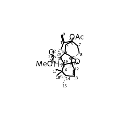 C=C1C[C@]23C[C@]1(OC(C)=O)CC[C@@]21O[C@]12C=C[C@H](C)C(C)(C)[C@H]2[C@@H]3C(=O)OC